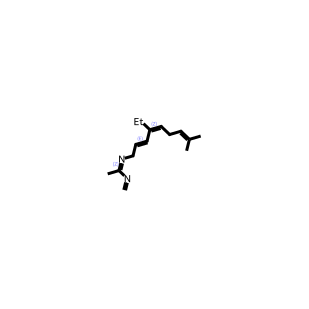 C=N/C(C)=N\C/C=C/C(=C\CC=C(C)C)CC